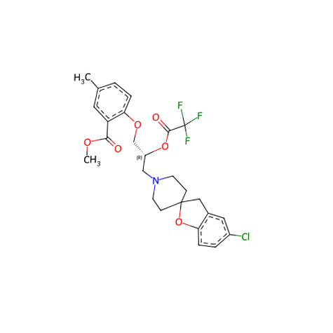 COC(=O)c1cc(C)ccc1OC[C@@H](CN1CCC2(CC1)Cc1cc(Cl)ccc1O2)OC(=O)C(F)(F)F